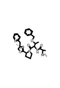 CC(N)C(=O)NC(C(=O)N1CCCC1C1=N[C@](C)(Cc2ccccn2)CO1)C(C)OCc1ccccc1